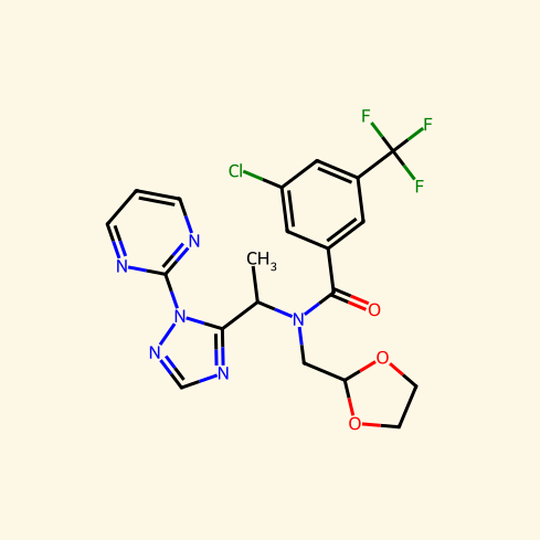 CC(c1ncnn1-c1ncccn1)N(CC1OCCO1)C(=O)c1cc(Cl)cc(C(F)(F)F)c1